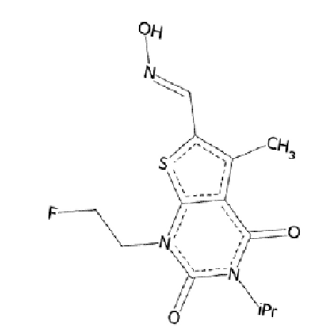 Cc1c(C=NO)sc2c1c(=O)n(C(C)C)c(=O)n2CCF